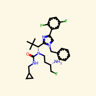 CC(C)(C)[C@H](c1nc(-c2cc(F)ccc2F)cn1Cc1ccccc1)N(CC[C@H](N)CF)C(=O)NCC1CC1